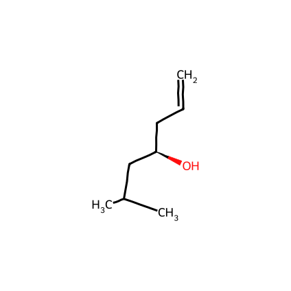 C=CC[C@@H](O)CC(C)C